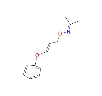 CC(C)=NOCC=COc1ccccc1